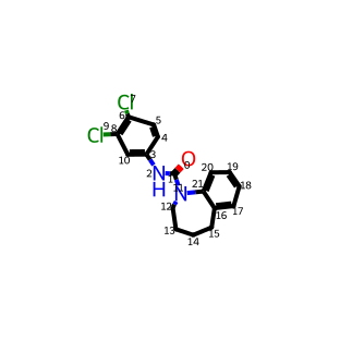 O=C(Nc1ccc(Cl)c(Cl)c1)N1CCCCc2ccccc21